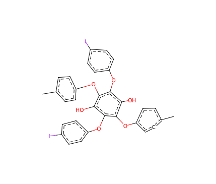 Cc1ccc(Oc2c(O)c(Oc3ccc(I)cc3)c(Oc3ccc(C)cc3)c(O)c2Oc2ccc(I)cc2)cc1